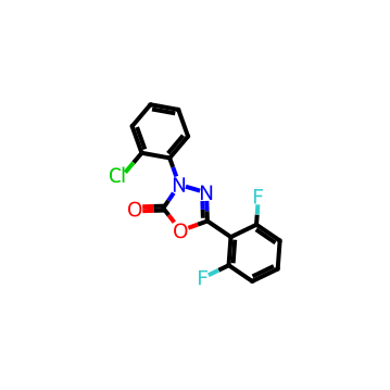 O=c1oc(-c2c(F)cccc2F)nn1-c1ccccc1Cl